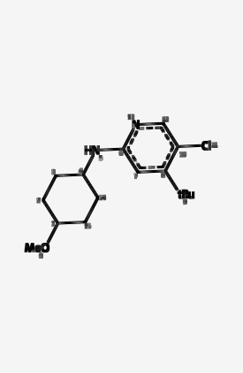 COC1CCC(Nc2cc(C(C)(C)C)c(Cl)cn2)CC1